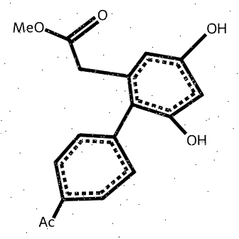 COC(=O)Cc1cc(O)cc(O)c1-c1ccc(C(C)=O)cc1